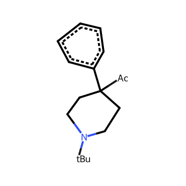 CC(=O)C1(c2ccccc2)CCN(C(C)(C)C)CC1